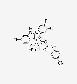 CC(C)(C)C[C@@H]1N[C@H](OC(=O)Nc2ccc(C#N)cc2)[C@H](c2ccc(F)c(Cl)c2)[C@]12C(=O)Nc1cc(Cl)ccc12